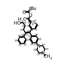 C\C=C/C(=C\C=C(/C)OC(=O)C(C)(C)C)C(=C(\CCCO)c1ccccc1)/c1ccc(N2CCN(C)CC2)cc1